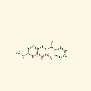 CCC(C)Sc1ccc2cc(C(=O)c3ccccc3)c(=O)oc2c1